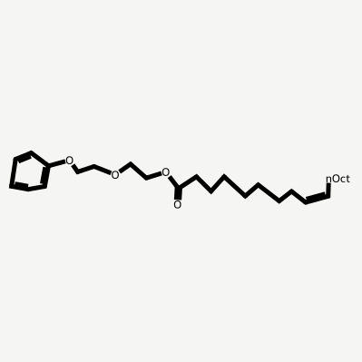 CCCCCCCC/C=C\CCCCCCCC(=O)OCCOCCOc1ccccc1